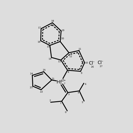 CC(C)[C](C(C)C)=[Hf+2]([c]1cccc2c1Cc1ccccc1-2)[CH]1C=CC=C1.[Cl-].[Cl-]